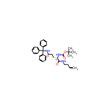 C=CCCNC(=O)[C@H](CCC(=O)NC(c1ccccc1)(c1ccccc1)c1ccccc1)NC(=O)OC(C)(C)C